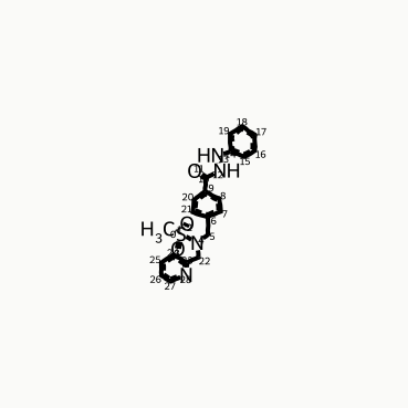 CS(=O)(=O)N(Cc1ccc(C(=O)NNc2ccccc2)cc1)Cc1ccccn1